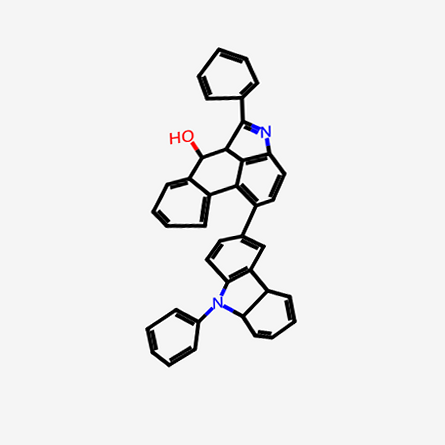 OC1c2ccccc2-c2c(-c3ccc4c(c3)C3C=CC=CC3N4c3ccccc3)ccc3c2C1C(c1ccccc1)=N3